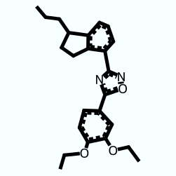 CCCC1CCc2c(-c3noc(-c4ccc(OCC)c(OCC)c4)n3)cccc21